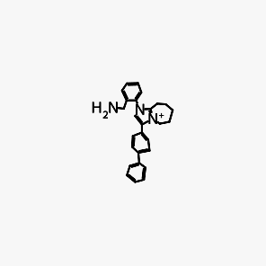 NCc1ccccc1-n1cc(-c2ccc(-c3ccccc3)cc2)[n+]2c1CCCCC2